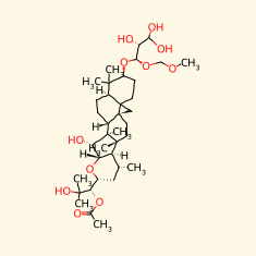 COCO[C@@H](O[C@H]1CCC23C[C@]24CC[C@]2(C)[C@@H]5[C@H](O[C@@H]([C@H](OC(C)=O)C(C)(C)O)C[C@H]5C)[C@H](O)[C@@]2(C)[C@@H]4CC[C@H]3C1(C)C)[C@H](O)C(O)O